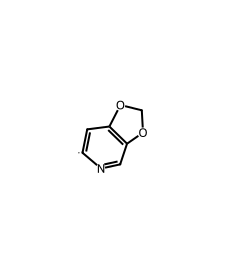 [c]1cc2c(cn1)OCO2